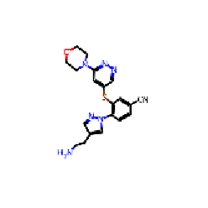 N#Cc1ccc(-n2cc(CCN)cn2)c(Sc2cnnc(N3CCOCC3)c2)c1